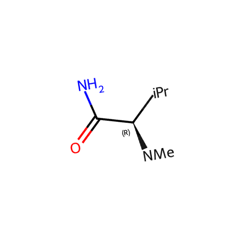 CN[C@@H](C(N)=O)C(C)C